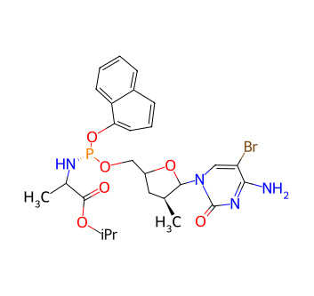 CC(C)OC(=O)C(C)N[P@@](OCC1C[C@H](C)C(n2cc(Br)c(N)nc2=O)O1)Oc1cccc2ccccc12